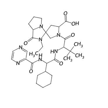 CCN1C(=O)C2CCCN2C12CC(C(=O)O)N(C(=O)C(NC(=O)C(NC(=O)c1cnccn1)C1CCCCC1)C(C)(C)C)C2